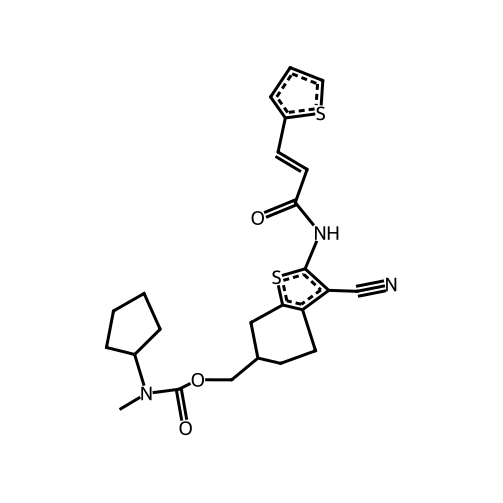 CN(C(=O)OCC1CCc2c(sc(NC(=O)C=Cc3cccs3)c2C#N)C1)C1CCCC1